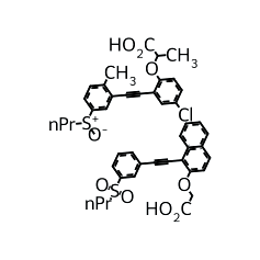 CCCS(=O)(=O)c1cccc(C#Cc2c(OCC(=O)O)ccc3ccccc23)c1.CCC[S+]([O-])c1ccc(C)c(C#Cc2cc(Cl)ccc2OC(C)C(=O)O)c1